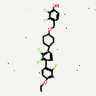 CCOc1ccc(-c2ccc(C3CCC(OCc4ccc(O)c(F)c4F)CC3)c(F)c2F)c(F)c1F